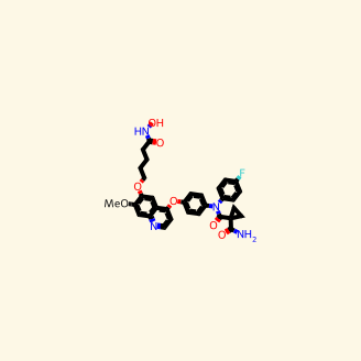 COc1cc2nccc(Oc3ccc(N(C(=O)C4(C(N)=O)CC4)c4ccc(F)cc4)cc3)c2cc1OCCCCC(=O)NO